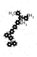 Cc1cccc(-c2cc(-c3ccc(-c4ccc(-c5ccc(-n6c7ccccc7c7cc(-n8c9ccccc9c9ccccc98)ccc76)cc5)cc4)cc3C)nc(-c3cccc(C)c3)n2)c1